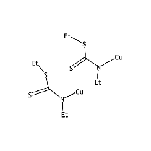 CCSC(=S)[N]([Cu])CC.CCSC(=S)[N]([Cu])CC